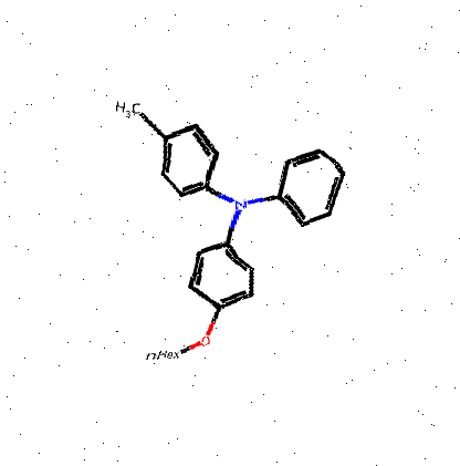 CCCCCCOc1ccc(N(c2ccccc2)c2ccc(C)cc2)cc1